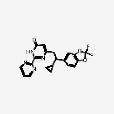 O=c1cc(CC(c2ccc3c(c2)OC(F)(F)O3)C2CC2)nc(-c2ncccn2)[nH]1